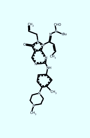 C=CCn1c(=O)c2cnc(Nc3ccc(N4CCN(C)CC4)c(C)c3)nc2n1C(/C=C\C)=N/N(C=O)C(C)(C)C